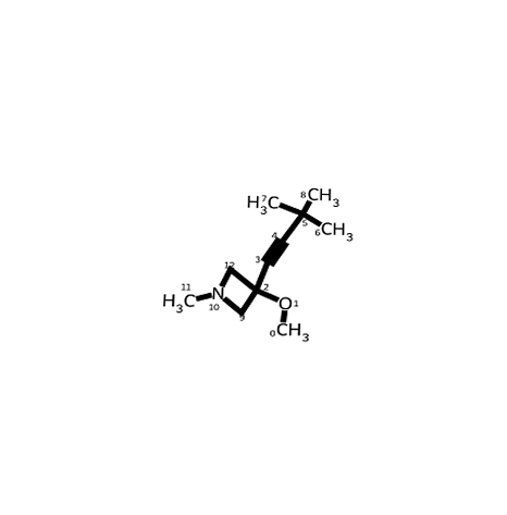 COC1(C#CC(C)(C)C)CN(C)C1